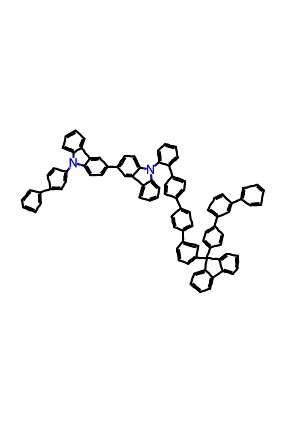 c1ccc(-c2ccc(-n3c4ccccc4c4cc(-c5ccc6c(c5)c5ccccc5n6-c5ccccc5-c5ccc(-c6ccc(-c7cccc(C8(c9ccc(-c%10cccc(-c%11ccccc%11)c%10)cc9)c9ccccc9-c9ccccc98)c7)cc6)cc5)ccc43)cc2)cc1